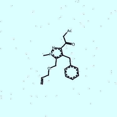 C=CCOCc1c(Cc2ccccc2)c(C(=O)CC(C)=O)nn1C